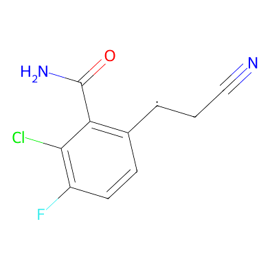 N#CC[CH]c1ccc(F)c(Cl)c1C(N)=O